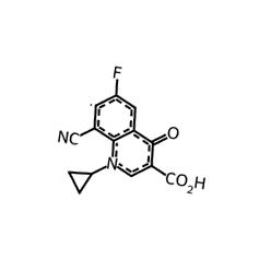 N#Cc1[c]c(F)cc2c(=O)c(C(=O)O)cn(C3CC3)c12